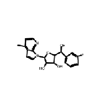 Cc1ccnc2c1ccn2C1OC(C(O)c2cccc(F)c2)C(O)C1O